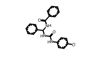 O=C(Nc1ccc(Cl)cc1)NC(NC(=O)c1ccccc1)c1ccccc1